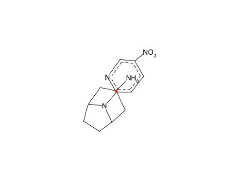 NC1CC2CCC(C1)N2c1ccc([N+](=O)[O-])cn1